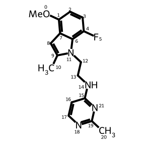 COc1ccc(F)c2c1cc(C)n2CCNc1ccnc(C)n1